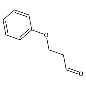 O=CCCOc1c[c]ccc1